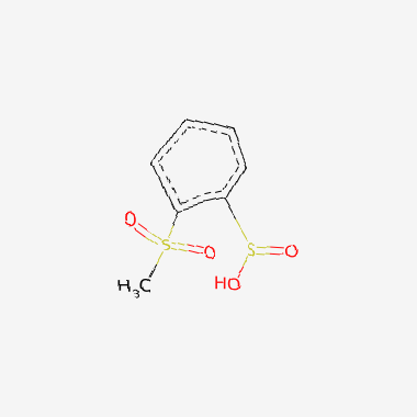 CS(=O)(=O)c1ccccc1S(=O)O